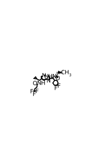 C[C@@H]1C[C@@H]1C(=O)N[C@H](c1cn2ncc(C(NC(=O)CCC(F)(F)F)C3CC3)cc2n1)C1CCC(F)(F)CC1